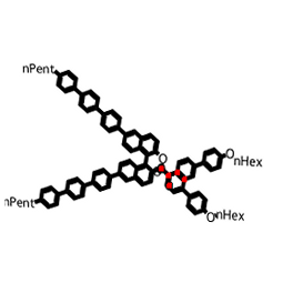 CCCCCCOc1ccc(-c2ccc(C(=O)Oc3ccc4cc(-c5ccc(-c6ccc(-c7ccc(CCCCC)cc7)cc6)cc5)ccc4c3-c3c(OC(=O)c4ccc(-c5ccc(OCCCCCC)cc5)cc4)ccc4cc(-c5ccc(-c6ccc(-c7ccc(CCCCC)cc7)cc6)cc5)ccc34)cc2)cc1